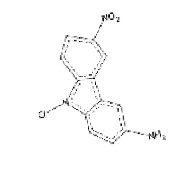 Nc1ccc2c(c1)c1cc([N+](=O)[O-])ccc1n2Cl